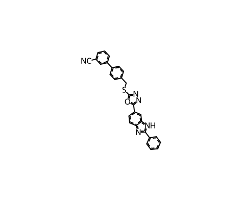 N#Cc1cccc(-c2ccc(CSc3nnc(-c4ccc5nc(-c6ccccc6)[nH]c5c4)o3)cc2)c1